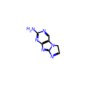 Nc1ncc2c(n1)nc1n2CC=N1